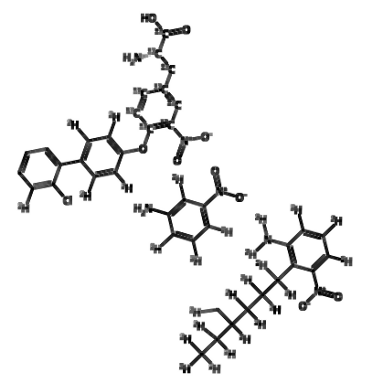 [2H]CC([2H])(C([2H])([2H])C([2H])([2H])[2H])C([2H])([2H])C([2H])([2H])C([2H])([2H])c1c(N([2H])[2H])c([2H])c([2H])c([2H])c1[N+](=O)[O-].[2H]c1c([2H])c(N)c([2H])c([N+](=O)[O-])c1[2H].[2H]c1cccc(-c2c([2H])c([2H])c(O[13c]3[13cH][13cH][13c]([13CH2][13C@H](N)[13C](=O)O)[13cH][13c]3[N+](=O)[O-])c([2H])c2[2H])c1Cl